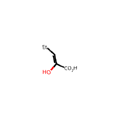 CC/C=C(\O)C(=O)O